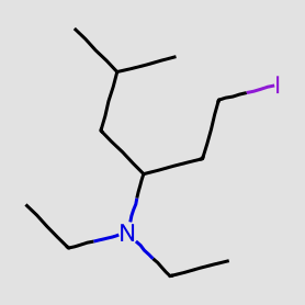 CCN(CC)C(CCI)CC(C)C